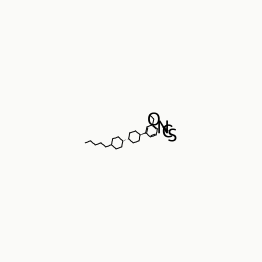 CCCCCC1CCC([C@H]2CC[C@H](c3ccc(N=C=S)c(OC)c3)CC2)CC1